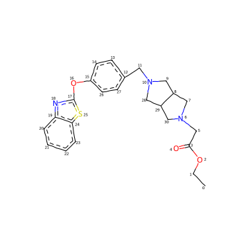 CCOC(=O)CN1CC2CN(Cc3ccc(Oc4nc5ccccc5s4)cc3)CC2C1